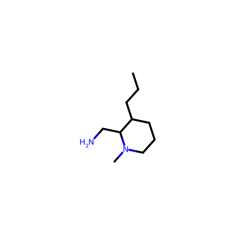 CCCC1CCCN(C)C1CN